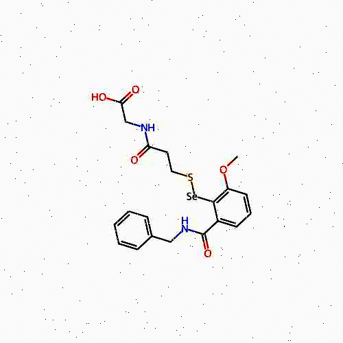 COc1cccc(C(=O)NCc2ccccc2)c1[Se]SCCC(=O)NCC(=O)O